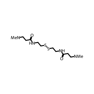 CNCCC(=O)NCCSSCCNC(=O)CCNC